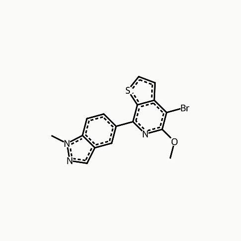 COc1nc(-c2ccc3c(cnn3C)c2)c2sccc2c1Br